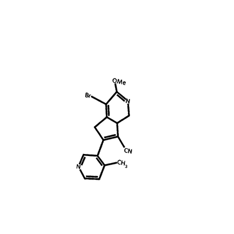 COC1=NCC2C(C#N)=C(c3cnccc3C)CC2=C1Br